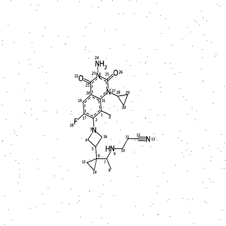 Cc1c(N2CC(C3(C(C)NCCC#N)CC3)C2)c(F)cc2c(=O)n(N)c(=O)n(C3CC3)c12